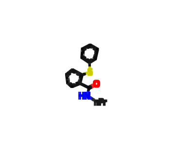 CCCNC(=O)c1ccccc1Sc1ccccc1